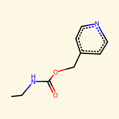 CCNC(=O)OCc1ccncc1